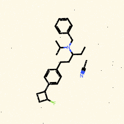 CC#N.CCC(CCc1ccc(C2CCC2F)cc1)N(Cc1ccccc1)C(C)C